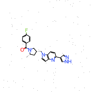 C[C@H]1C[C@@H](Cn2ccc3nc(-c4cn[nH]c4)ccc32)CN1C(=O)c1ccc(F)cc1